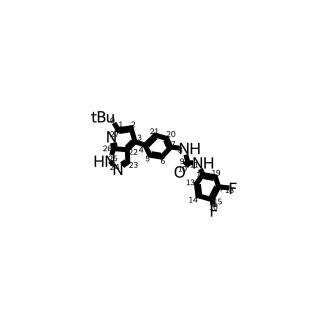 CC(C)(C)c1cc(-c2ccc(NC(=O)Nc3ccc(F)c(F)c3)cc2)c2cn[nH]c2n1